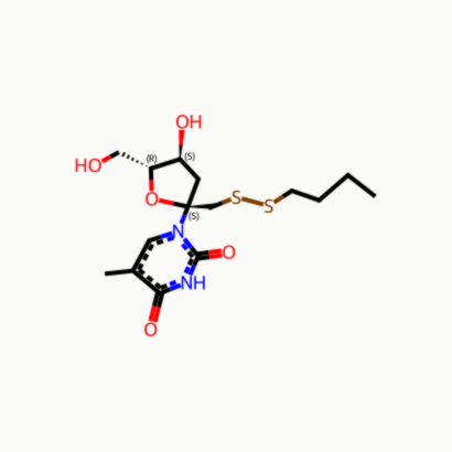 CCCCSSC[C@]1(n2cc(C)c(=O)[nH]c2=O)C[C@H](O)[C@@H](CO)O1